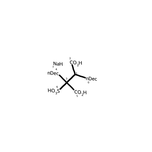 CCCCCCCCCCC(C(=O)O)C(CCCCCCCCCC)(C(=O)O)S(=O)(=O)O.[NaH]